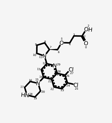 O=C(O)CCOC[C@@H]1CCCN1c1cc(N2CCNCC2)c2ccc(Cl)c(Cl)c2n1